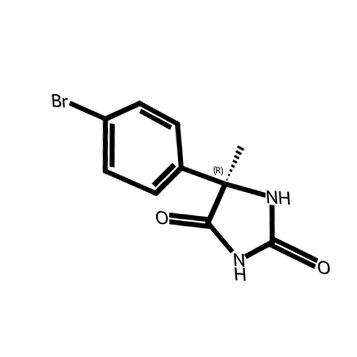 C[C@]1(c2ccc(Br)cc2)NC(=O)NC1=O